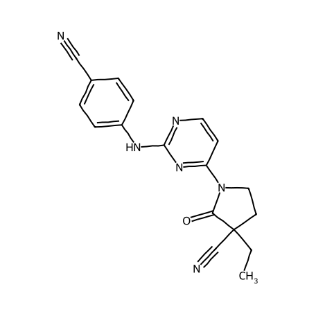 CCC1(C#N)CCN(c2ccnc(Nc3ccc(C#N)cc3)n2)C1=O